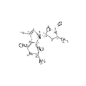 CC[C@H]1O[C@@H](n2cc(I)c3c(Cl)nc(N)nc32)CC1C